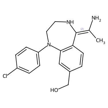 C/C(N)=C1/NCCN(c2ccc(Cl)cc2)c2cc(CO)ccc21